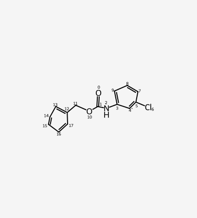 O=C(Nc1[c]c(Cl)ccc1)OCc1ccccc1